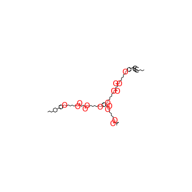 C=C(C)C(=O)OCCCCCCOC(=O)c1cc(OCCCCCCOC(=O)CCC(=O)OCCCCCCOc2ccc(C3CCC(CCC)CC3)cc2)ccc1OCCCCCCOC(=O)CCC(=O)OCCCCCCOc1ccc(C=C=C=CCCC)cc1